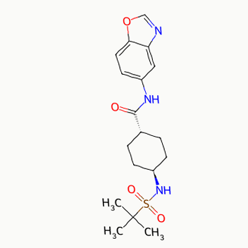 CC(C)(C)S(=O)(=O)N[C@H]1CC[C@H](C(=O)Nc2ccc3ocnc3c2)CC1